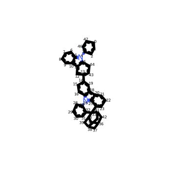 c1ccc(-n2c3ccccc3c3cc(-c4ccc5c(c4)c4cccc6c4n5-c4ccccc4C64C5CC6CC(C5)CC4C6)ccc32)cc1